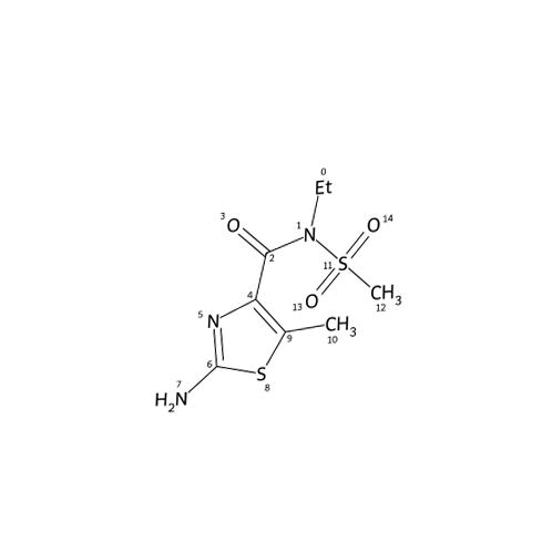 CCN(C(=O)c1nc(N)sc1C)S(C)(=O)=O